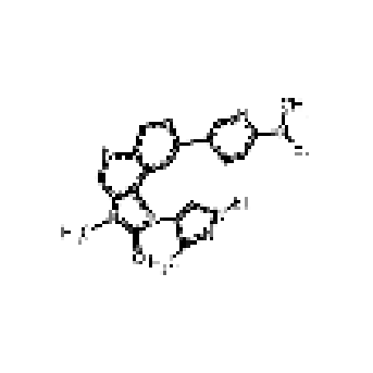 CCN(C)c1ccc(-c2ccc3ncc4c(c3c2)n(-c2cn(CC)nc2C)c(=O)n4C)cn1